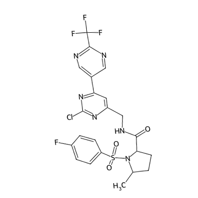 CC1CCC(C(=O)NCc2cc(-c3cnc(C(F)(F)F)nc3)nc(Cl)n2)N1S(=O)(=O)c1ccc(F)cc1